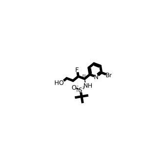 CC(C)(C)[S@@+]([O-])N[C@@H](c1cccc(Br)n1)C(F)CCO